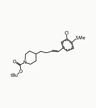 CSc1ccc(C=CCCC2CCN(C(=O)OC(C)(C)C)CC2)cc1Cl